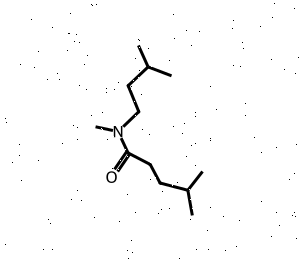 CC(C)CCC(=O)N(C)CCC(C)C